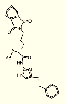 CC(=O)S[C@H](CCCN1C(=O)c2ccccc2C1=O)C(=O)Nc1nc(CCc2ccccc2)c[nH]1